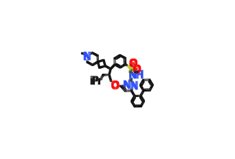 CC(C)C[C@@H]1COc2cc(-c3ccccc3-c3ccccc3)nc(n2)NS(=O)(=O)c2cccc(c2)C1C1CC2(CCN(C)CC2)C1